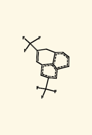 FC(F)(F)C1=Cc2cc(C(F)(F)F)cc3cccc(c23)C1